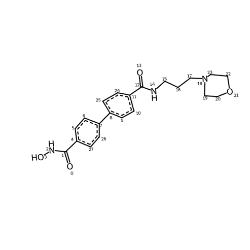 O=C(NO)c1ccc(-c2ccc(C(=O)NCCCN3CCOCC3)cc2)cc1